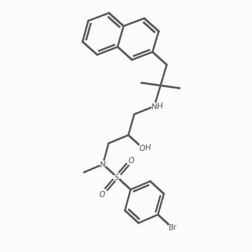 CN(CC(O)CNC(C)(C)Cc1ccc2ccccc2c1)S(=O)(=O)c1ccc(Br)cc1